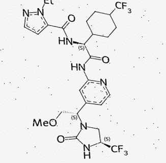 CCn1nccc1C(=O)N[C@H](C(=O)Nc1cc([C@@H](COC)N2C[C@@H](C(F)(F)F)NC2=O)ccn1)C1CCC(C(F)(F)F)CC1